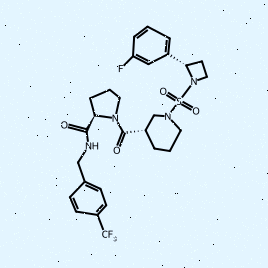 O=C(NCc1ccc(C(F)(F)F)cc1)[C@H]1CCCN1C(=O)[C@H]1CCCN(S(=O)(=O)N2CC[C@H]2c2cccc(F)c2)C1